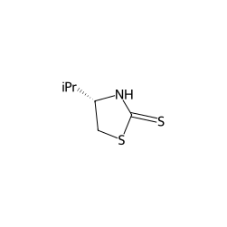 CC(C)[C@H]1CSC(=S)N1